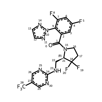 O=C(c1cc(F)cc(F)c1-n1nccn1)N1CCC(F)(F)[C@H]1CNc1ncc(C(F)(F)F)cn1